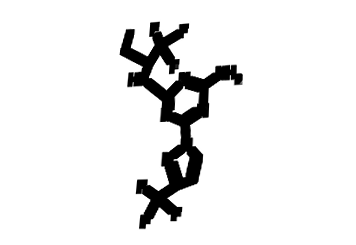 CCC(Nc1nc(N)nc(-n2ccc(C(F)(F)F)n2)n1)C(F)(F)F